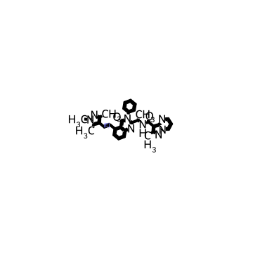 Cc1nn(C)c(C)c1/C=C/c1cccc2nc(C(C)NC(=O)c3c(C)nn4cccnc34)n(-c3ccccc3)c(=O)c12